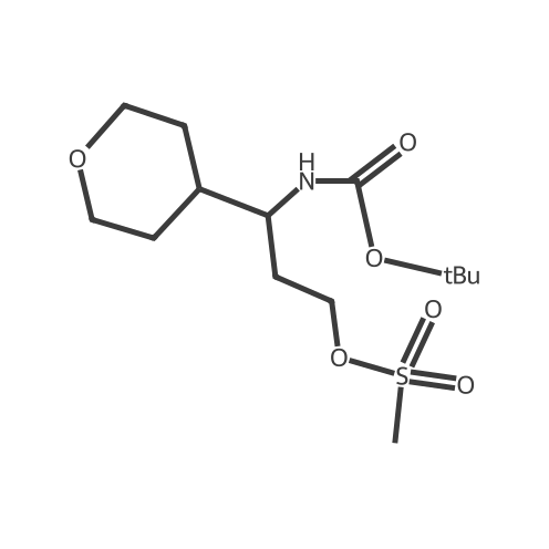 CC(C)(C)OC(=O)NC(CCOS(C)(=O)=O)C1CCOCC1